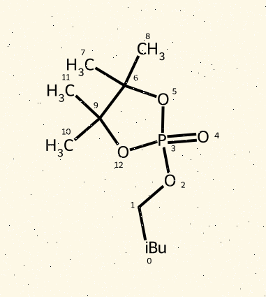 CCC(C)COP1(=O)OC(C)(C)C(C)(C)O1